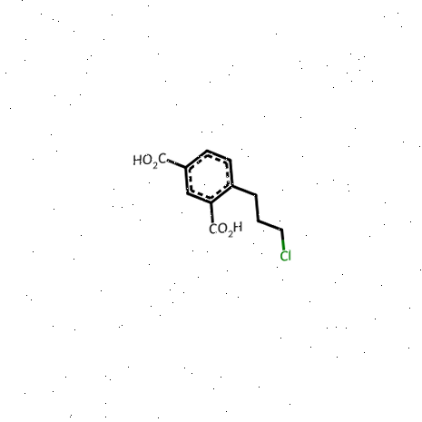 O=C(O)c1ccc(CCCCl)c(C(=O)O)c1